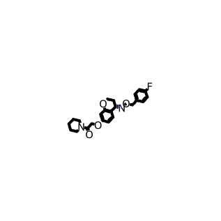 O=C(COc1ccc2c(c1)OCC/C2=N\OCc1ccc(F)cc1)N1CCCCC1